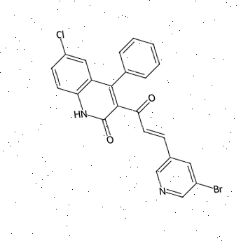 O=C(/C=C/c1cncc(Br)c1)c1c(-c2ccccc2)c2cc(Cl)ccc2[nH]c1=O